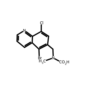 CN(Cc1cc(Cl)c2ncccc2c1Br)C(=O)O